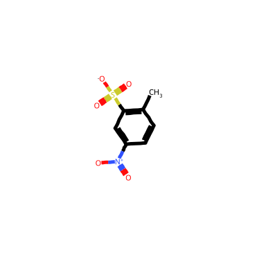 Cc1ccc([N+](=O)[O-])cc1S([O])(=O)=O